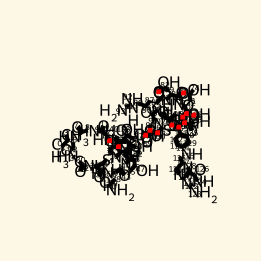 CCC(C)[C@@H]1NC(=O)CNC(=O)[C@@H]2Cc3c([nH]c4cc(O)ccc34)SC[C@@H](NC(=O)CNC1=O)C(=O)N[C@@H](CC(N)=O)C(=O)N1C[C@H](O)C[C@H]1C(=O)N[C@@H]([C@@H](O)COC(=O)OCCSSC[C@H](NC(=O)[C@H](CC(=O)O)NC(=O)[C@H](CC(=O)O)NC(=O)[C@H](CCCNC(=N)N)NC(=O)[C@H](CC(=O)O)NC(=O)CC[C@H](NC(=O)c1ccc(NCc3cnc4nc(N)[nH]c(=O)c4n3)cc1)C(=O)O)C(=O)O)C(=O)N2